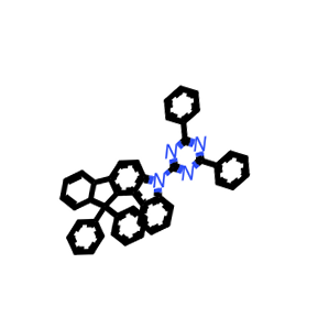 C1=CC2c3ccc4c(c3C(c3ccccc3)(c3ccccc3)C2C=C1)c1ccccc1n4-c1nc(-c2ccccc2)nc(-c2ccccc2)n1